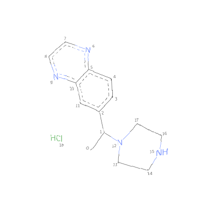 CC(c1ccc2nccnc2c1)N1CCNCC1.Cl